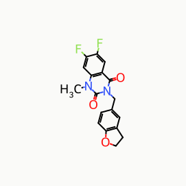 Cn1c(=O)n(Cc2ccc3c(c2)CCO3)c(=O)c2cc(F)c(F)cc21